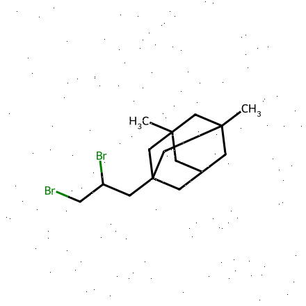 CC12CC3CC(C)(C1)CC(CC(Br)CBr)(C3)C2